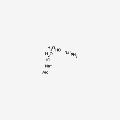 O.O.P.[Mo].[Na+].[Na+].[OH-].[OH-]